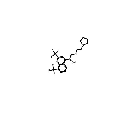 OC(CNCCN1CCCC1)c1cc(C(F)(F)F)nc2c(C(F)(F)F)cccc12